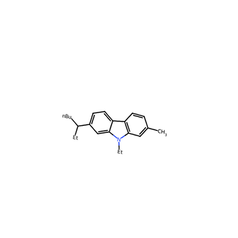 CCCCC(CC)c1ccc2c3ccc(C)cc3n(CC)c2c1